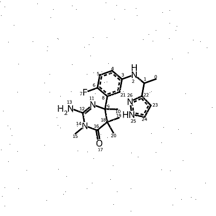 CC(Nc1ccc(F)c(C2(C)N=C(N)N(C)C(=O)C2(C)C)c1)c1cc[nH]n1